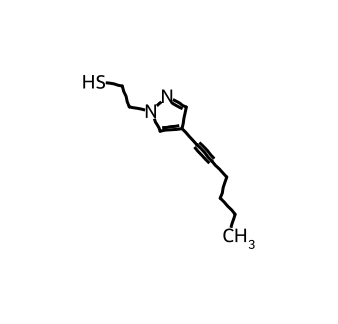 CCCCC#Cc1cnn(CCS)c1